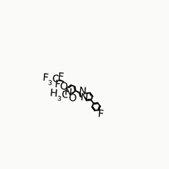 Cn1c(OCC(F)(F)C(F)(F)F)ccc(-c2cn3cc(-c4ccc(F)cc4)ccc3n2)c1=O